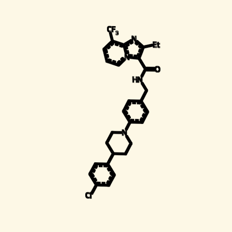 CCc1nc2c(C(F)(F)F)cccn2c1C(=O)NCc1ccc(N2CCC(c3ccc(Cl)cc3)CC2)cc1